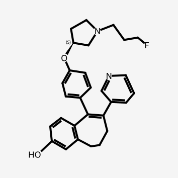 Oc1ccc2c(c1)CCCC(c1cccnc1)=C2c1ccc(O[C@H]2CCN(CCCF)C2)cc1